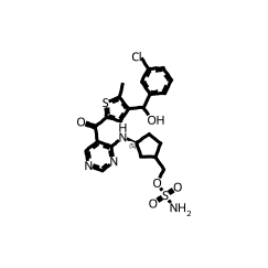 Cc1sc(C(=O)c2cncnc2N[C@H]2CCC(COS(N)(=O)=O)C2)cc1C(O)c1cccc(Cl)c1